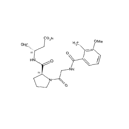 COc1cccc(C(=O)NCC(=O)N2CCC[C@H]2C(=O)N[C@H](C=O)CC(=O)O)c1C